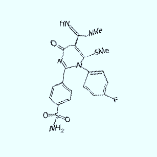 CNC(=N)c1c(SC)n(-c2ccc(F)cc2)c(-c2ccc(S(N)(=O)=O)cc2)nc1=O